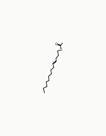 CCCCCCCCC/C=C/CCCOC(C)=O